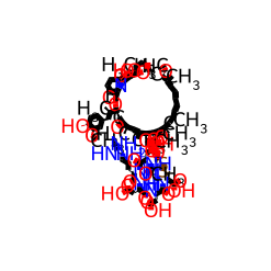 CO[C@H]1C[C@@H]2CC[C@@H](C)[C@@](O)(O2)C(=O)C(=O)N2CCCC[C@H]2C(=O)O[C@H]([C@H](C)C[C@@H]2CC[C@@H](O)[C@H](OC)C2)CC(=O)[C@H](C)/C=C(\C)[C@@H](OC(=O)OCCSSC[C@H](NC(=O)[C@H](CC(=O)O)NC(=O)[C@H](CC(=O)O)NC(=O)[C@H](CCCNC(=N)N)NC(=O)[C@H](CC(=O)O)NC(C)=O)C(=O)O)[C@@H](OC)C(=O)[C@H](C)C[C@H](C)/C=C/C=C/C=C/1C